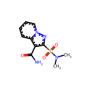 CN(C)S(=O)(=O)c1nn2ccccc2c1C(N)=O